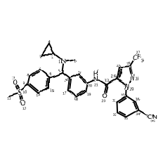 CN(C1CC1)C(c1ccc(S(C)(=O)=O)cc1)c1cccc(NC(=O)c2cc(C(F)(F)F)nn2-c2cccc(C#N)c2)c1